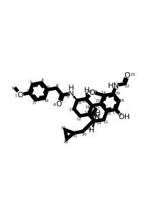 COc1ccc(CC(=O)N[C@@H]2CC[C@H]3[C@H]4Cc5c(O)cc(NC=O)c6c5[C@@]3(CCN4CC3CC3)[C@H]2O6)cc1